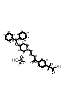 CC(C)(C(=O)O)c1ccc(C(=O)CCCN2CCC(OC(c3ccccc3)c3ccccc3)CC2)cc1.CS(=O)(=O)O